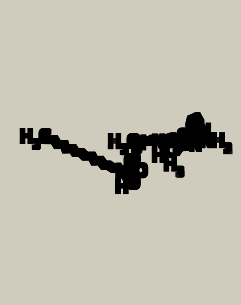 CCCCCCCCCCCCCCCCCNc1c(OCCCN(C)CCCNCCCCOn2c(CCCC)nc3c(N)nc4ccccc4c32)c(=O)c1=O